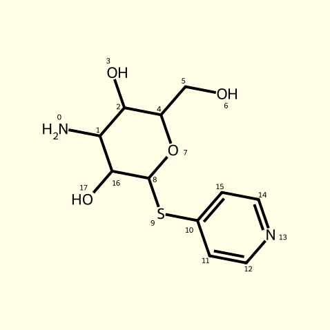 NC1C(O)C(CO)OC(Sc2ccncc2)C1O